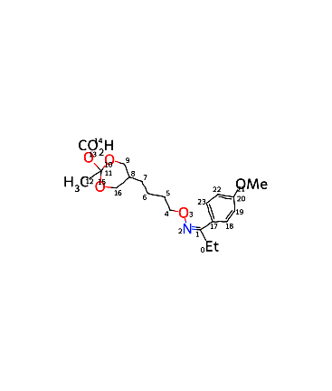 CCC(=NOCCCCC1COC(C)(OC(=O)O)OC1)c1ccc(OC)cc1